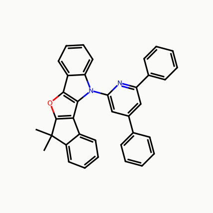 CC1(C)c2ccccc2-c2c1oc1c3ccccc3n(-c3cc(-c4ccccc4)cc(-c4ccccc4)n3)c21